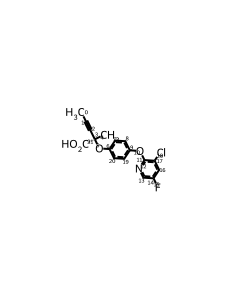 CC#C[C@@](C)(Oc1ccc(Oc2ncc(F)cc2Cl)cc1)C(=O)O